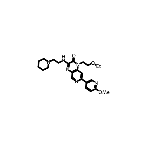 CCOCCn1c(=O)c(NCCN2CCCCC2)nc2cnc(-c3ccc(OC)nc3)cc21